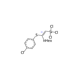 CCCCCC/C(=C\[Si](Cl)(Cl)Cl)Sc1ccc(Cl)cc1